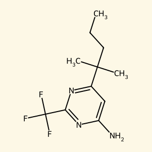 CCCC(C)(C)c1cc(N)nc(C(F)(F)F)n1